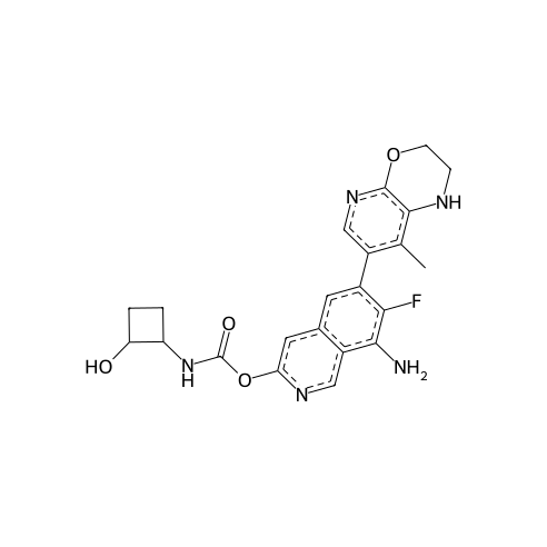 Cc1c(-c2cc3cc(OC(=O)NC4CCC4O)ncc3c(N)c2F)cnc2c1NCCO2